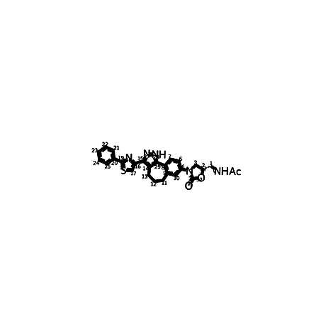 CC(=O)NC[C@H]1CN(c2ccc3c(c2)CCCc2c(-c4csc(-c5ccccc5)n4)n[nH]c2-3)C(=O)O1